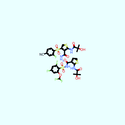 CC(C)(O)C(=O)Nc1scc(S(=O)(=O)c2ccc(C#N)cc2F)c1C(N)=O.CC(C)(O)C(=O)Nc1sccc1C(=O)NS(=O)(=O)c1c(F)cc(F)cc1OC(F)F